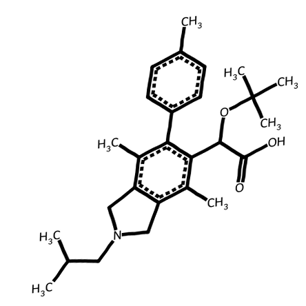 Cc1ccc(-c2c(C)c3c(c(C)c2C(OC(C)(C)C)C(=O)O)CN(CC(C)C)C3)cc1